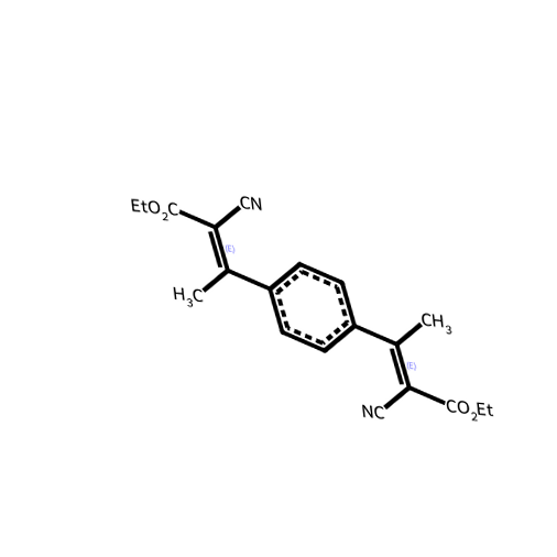 CCOC(=O)/C(C#N)=C(\C)c1ccc(/C(C)=C(\C#N)C(=O)OCC)cc1